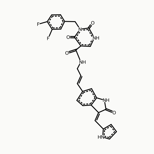 O=C1Nc2cc(C=CCNC(=O)c3c[nH]c(=O)n(Cc4ccc(F)c(F)c4)c3=O)ccc2C1=Cc1ccc[nH]1